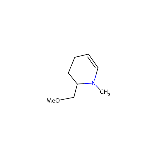 COCC1CCC=CN1C